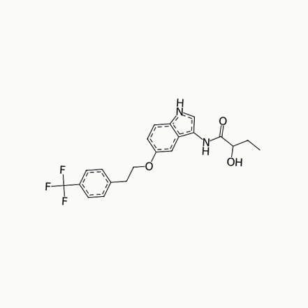 CCC(O)C(=O)Nc1c[nH]c2ccc(OCCc3ccc(C(F)(F)F)cc3)cc12